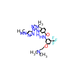 CNc1cc(-n2ncnc2Nc2cc(C(=O)Nc3cc(OCCCN(C)C)cc(C(F)(F)F)c3)ccc2C)ncn1